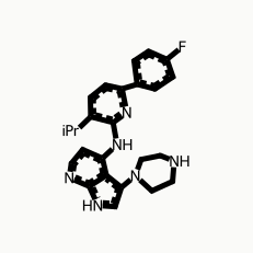 CC(C)c1ccc(-c2ccc(F)cc2)nc1Nc1ccnc2[nH]cc(N3CCNCC3)c12